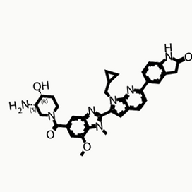 COc1cc(C(=O)N2CC[C@@H](O)[C@@H](N)C2)cc2nc(-c3cc4ccc(-c5ccc6c(c5)CC(=O)N6)nc4n3CC3CC3)n(C)c12